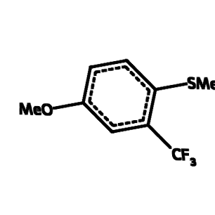 COc1ccc(SC)c(C(F)(F)F)c1